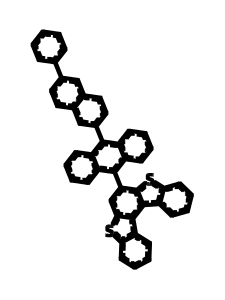 c1ccc(-c2ccc3cc(-c4c5ccccc5c(-c5cc6sc7ccccc7c6c6c5sc5ccccc56)c5ccccc45)ccc3c2)cc1